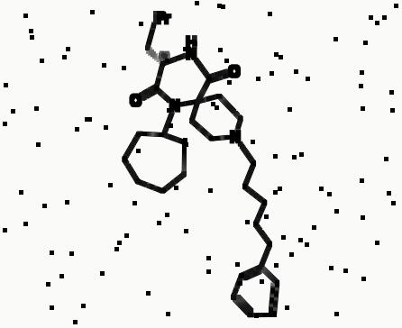 CC(C)C[C@@H]1NC(=O)C2(CCN(CCCCCc3ccccc3)CC2)N(C2CCCCCC2)C1=O